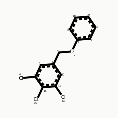 Clc1cc(COc2ccccc2)cc(Cl)c1Cl